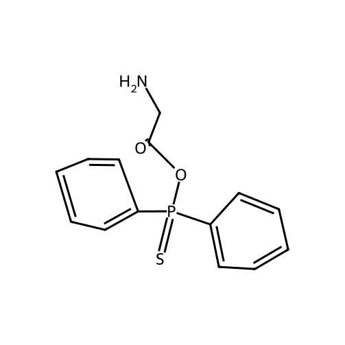 NCC(=O)OP(=S)(c1ccccc1)c1ccccc1